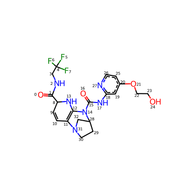 O=C(NCC(F)(F)F)C1C=CC2=C(N1)N(C(=O)Nc1cc(OCCO)ccn1)C1CCN2C1